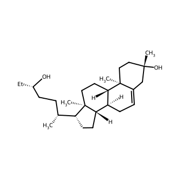 CC[C@H](O)CC[C@@H](C)[C@H]1CC[C@H]2[C@@H]3CC=C4C[C@@](C)(O)CC[C@]4(C)[C@H]3CC[C@]12C